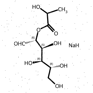 CC(O)C(=O)O[C@@H](C=O)[C@@H](O)[C@H](O)[C@H](O)CO.[NaH]